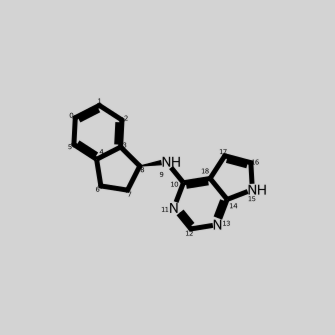 c1ccc2c(c1)CC[C@@H]2Nc1ncnc2[nH]ccc12